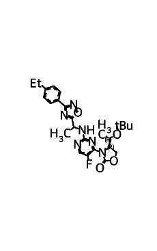 CCc1ccc(-c2noc(C(C)Nc3ncc(F)c(N4C(=O)OC[C@@H]4[C@@H](C)OC(C)(C)C)n3)n2)cc1